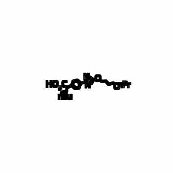 CCCCC=CC(C(=O)O)c1ccc(-c2ncc(OCCCCOCCC)cn2)cc1